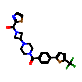 O=C(c1ccc(-c2ccc(C(F)(F)F)s2)cc1)N1CCN(C2CN(C(=O)c3nccs3)C2)CC1